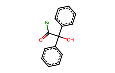 O=C(Br)C(O)(c1ccccc1)c1ccccc1